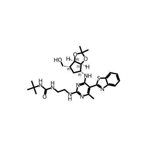 Cc1nc(NCCNC(=O)NC(C)(C)C)nc(N[C@@H]2C[C@H](CO)[C@H]3OC(C)(C)O[C@H]32)c1-c1nc2ccccc2s1